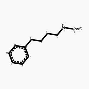 CCCC(C)NCCCCc1ccccc1